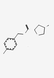 Cl.O=C(NCc1ccc(Cl)cc1)[C@@H]1C[C@@H](O)CN1